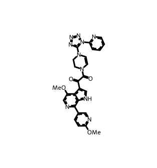 COc1ccc(-c2ncc(OC)c3c(C(=O)C(=O)N4C=CN(c5nnnn5-c5ccccn5)CC4)c[nH]c23)cn1